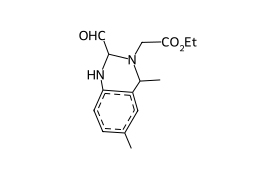 CCOC(=O)CN1C(C=O)Nc2ccc(C)cc2C1C